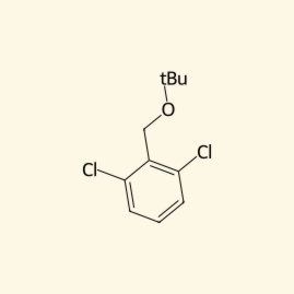 CC(C)(C)OCc1c(Cl)cccc1Cl